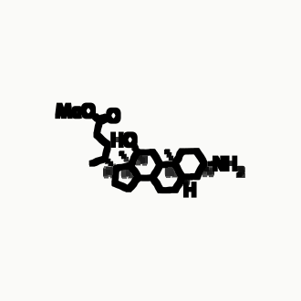 COC(=O)CCC(C)[C@H]1CCC2C3CC[C@@H]4C[C@@H](N)CC[C@]4(C)C3C[C@H](O)[C@@]21C